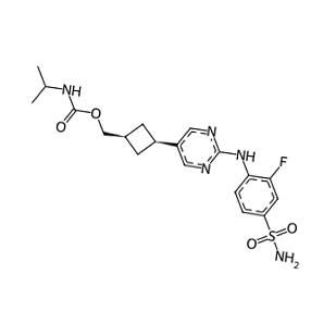 CC(C)NC(=O)OC[C@H]1C[C@@H](c2cnc(Nc3ccc(S(N)(=O)=O)cc3F)nc2)C1